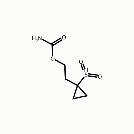 NC(=O)OCCC1([SH](=O)=O)CC1